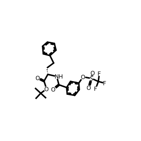 CC(C)(C)OC(=O)[C@H](CCc1ccccc1)NC(=O)c1cccc(OS(=O)(=O)C(F)(F)F)c1